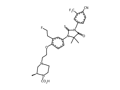 C[C@H]1CN(CCOc2ccc(N3C(=S)N(c4ccc(C#N)c(C(F)(F)F)c4)C(=O)C3(C)C)cc2CCF)CCN1C(=O)O